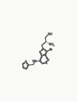 N[C@@H](CO)Cc1sc2c(NCc3cccs3)cnnc2c1Br